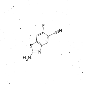 N#Cc1cc2nc(N)sc2cc1F